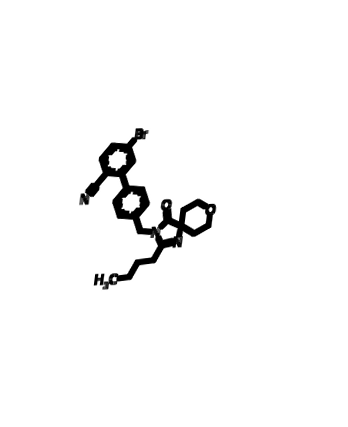 CCCCC1=NC2(CCOCC2)C(=O)N1Cc1ccc(-c2cc(Br)ccc2C#N)cc1